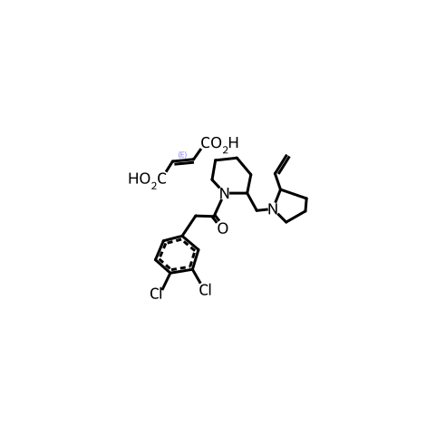 C=CC1CCCN1CC1CCCCN1C(=O)Cc1ccc(Cl)c(Cl)c1.O=C(O)/C=C/C(=O)O